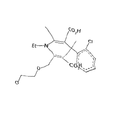 CCN1C(C)=C(C(=O)O)C(C)(c2ccccc2Cl)C(C(=O)O)=C1COCCCl